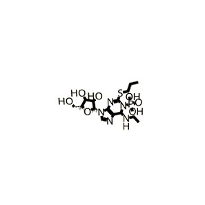 CCCSC1=Nc2c(ncn2[C@@H]2O[C@H](CO)C(O)C2O)C(NCC)N1P(=O)(O)O